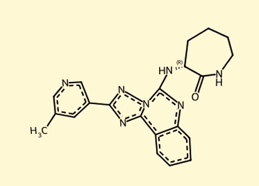 Cc1cncc(-c2nc3c4ccccc4nc(N[C@@H]4CCCCNC4=O)n3n2)c1